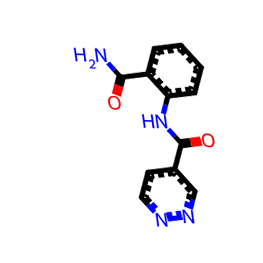 NC(=O)c1ccccc1NC(=O)c1ccnnc1